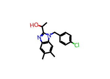 Cc1cc2nc(C(C)O)n(Cc3ccc(Cl)cc3)c2cc1C